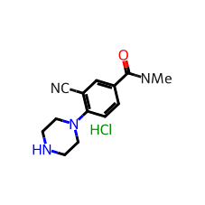 CNC(=O)c1ccc(N2CCNCC2)c(C#N)c1.Cl